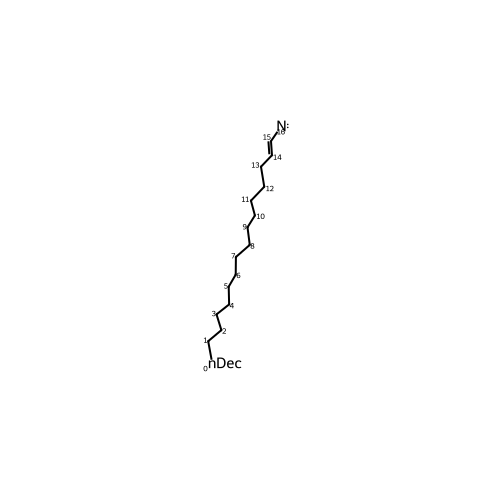 CCCCCCCCCCCCCCCCCCCCCCCC=C[N]